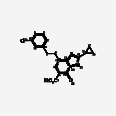 CCOC(=O)c1cn(CCc2cccc(Cl)c2)c2cc(C3CC3)nn2c1=O